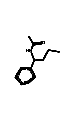 CCCC(NC(C)=O)c1ccccc1